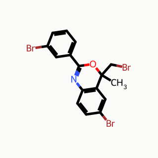 CC1(CBr)OC(c2cccc(Br)c2)=Nc2ccc(Br)cc21